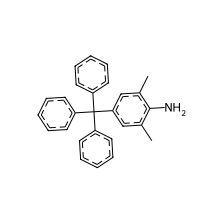 Cc1cc(C(c2ccccc2)(c2ccccc2)c2ccccc2)cc(C)c1N